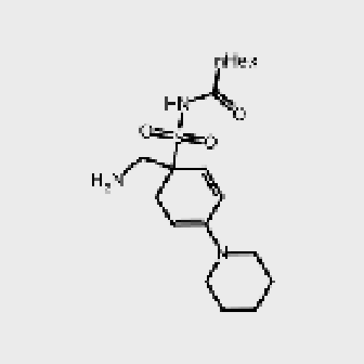 CCCCCCC(=O)NS(=O)(=O)C1(CN)C=CC(N2CCCCC2)=CC1